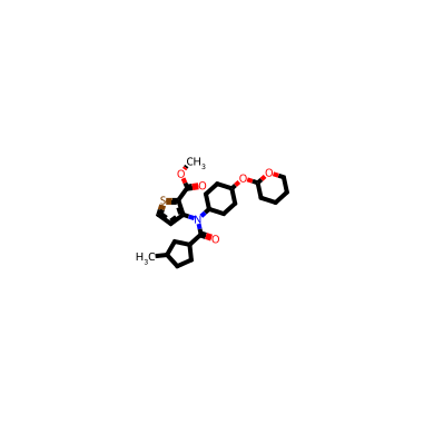 COC(=O)c1sccc1N(C(=O)C1CCC(C)C1)C1CCC(OC2CCCCO2)CC1